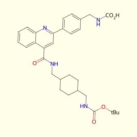 CC(C)(C)OC(=O)NCC1CCC(CNC(=O)c2cc(-c3ccc(CNC(=O)O)cc3)nc3ccccc23)CC1